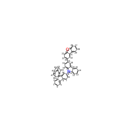 c1ccc2c(c1)-c1ccc(-n3c4ccccc4c4cc(-c5ccc6oc7ccccc7c6c5)ccc43)cc1C21C2CC3CC(C2)CC1C3